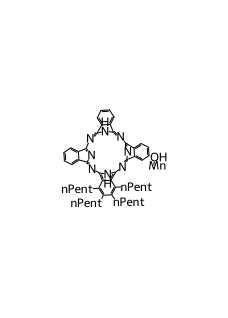 CCCCCc1c(CCCCC)c(CCCCC)c2c3nc4nc(nc5[nH]c(nc6nc(nc([nH]3)c2c1CCCCC)-c1ccccc1-6)c1ccccc51)-c1ccccc1-4.[OH][Mn]